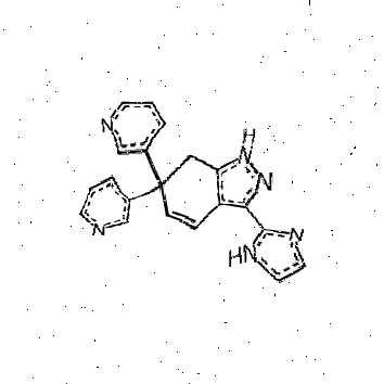 C1=CC(c2cccnc2)(c2cccnc2)Cc2[nH]nc(-c3ncc[nH]3)c21